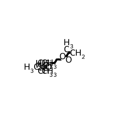 C=C(C)C(=O)OCCC[SiH2]O[Si](C)(C)[Si](C)(C)C